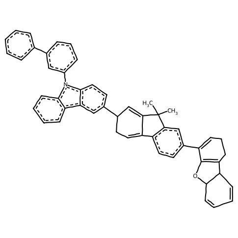 CC1(C)C2=CC(c3ccc4c(c3)c3ccccc3n4-c3cccc(-c4ccccc4)c3)CC=C2c2ccc(C3=CCCC4=C3OC3C=CC=CC43)cc21